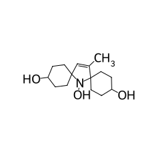 CC1=CC2(CCC(O)CC2)N(O)C12CCC(O)CC2